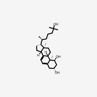 C[C@@H](CCCC(C)(C)O)[C@H]1CC[C@H]2C3=CC=C4C[C@@H](O)C[C@H](O)[C@]4(C)[C@H]3CC[C@]12C